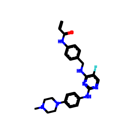 C=CC(=O)Nc1ccc(CNc2nc(Nc3ccc(N4CCN(C)CC4)cc3)ncc2F)cc1